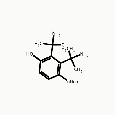 CCCCCCCCCc1ccc(O)c(C(C)(C)N)c1C(C)(C)N